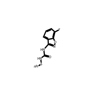 CCCSNC(=O)Nc1noc2c(F)cccc12